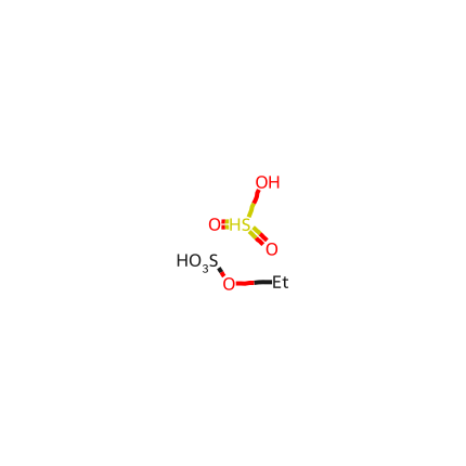 CCOS(=O)(=O)O.O=[SH](=O)O